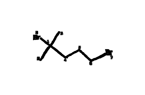 CC(C)(Br)[CH]CCBr